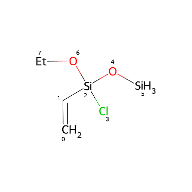 C=C[Si](Cl)(O[SiH3])OCC